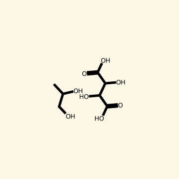 CC(O)CO.O=C(O)C(O)C(O)C(=O)O